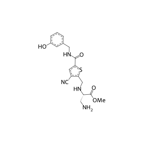 COC(=O)[C@H](CN)NCc1sc(C(=O)NCc2cccc(O)c2)cc1C#N